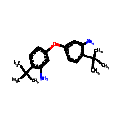 CC(C)(C)c1ccc(Oc2ccc(C(C)(C)C)c(N)c2)cc1N